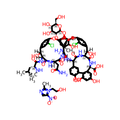 CN[C@H](CC(C)C)C(=O)N[C@H]1C(=O)N[C@@H](CC(N)=O)C(=O)N[C@H]2C(=O)N[C@H]3C(=O)N[C@H](C(=O)N[C@@H](C(=O)O)c4cc(O)cc(O)c4-c4cc3ccc4O)[C@H](O)c3ccc(c(Cl)c3)Oc3cc2cc(c3O[C@@H]2O[C@H](CO)[C@@H](O)[C@H](O)[C@H]2O[C@H]2C[C@](C)(N)C(O)[C@H](C)O2)Oc2ccc(cc2Cl)[C@H]1O.Cc1ncc([N+](=O)[O-])n1CCO